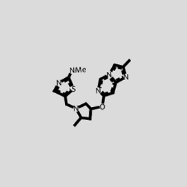 CNc1ncc(CN2CC(Oc3cc4nc(C)cn4cn3)CC2C)s1